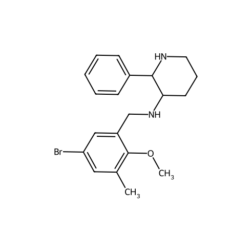 COc1c(C)cc(Br)cc1CNC1CCCNC1c1ccccc1